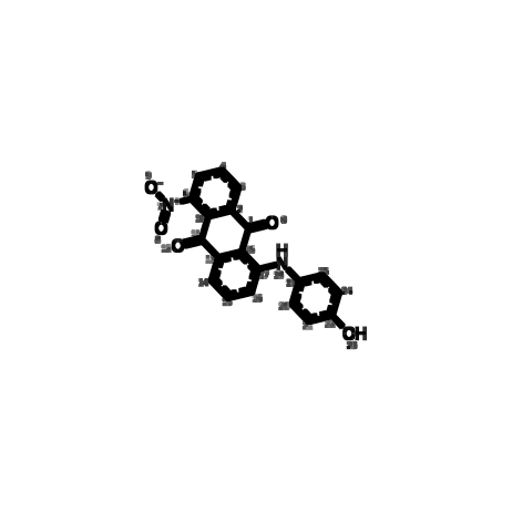 O=C1c2cccc([N+](=O)[O-])c2C(=O)c2cccc(Nc3ccc(O)cc3)c21